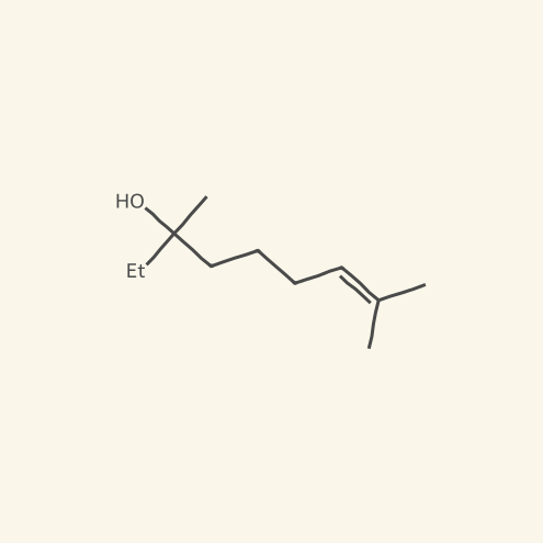 CCC(C)(O)CCCC=C(C)C